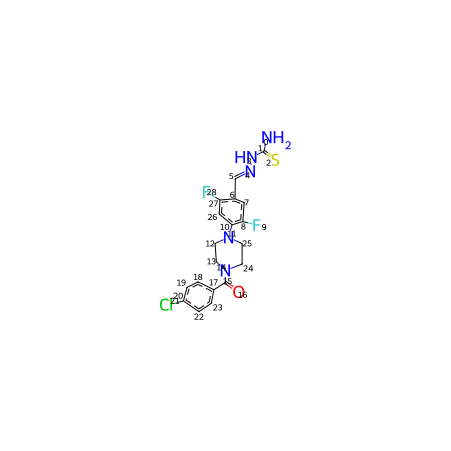 NC(=S)NN=Cc1cc(F)c(N2CCN(C(=O)c3ccc(Cl)cc3)CC2)cc1F